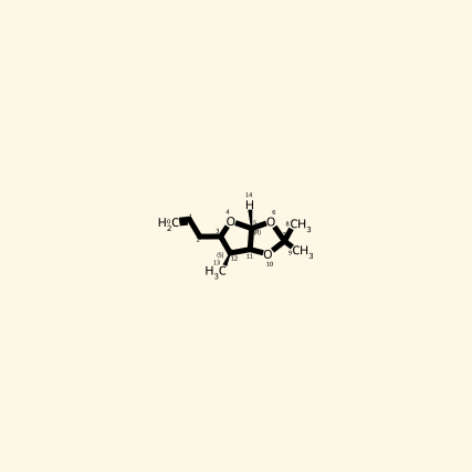 C=CCC1O[C@@H]2OC(C)(C)OC2[C@H]1C